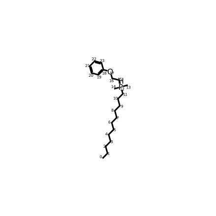 CCCCCCCCCCCC[PH](C)(C)CCOc1ccccc1